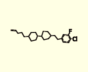 C=CCCCC1CCC(C2CCC(CCc3ccc(Cl)c(F)c3)CC2)CC1